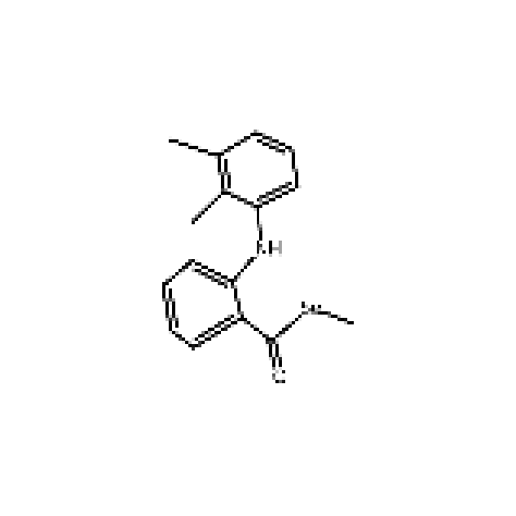 C[Se]C(=O)c1ccccc1Nc1cccc(C)c1C